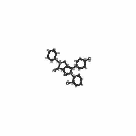 O=C1c2nn(-c3ccccc3Cl)c(-c3ccc(Cl)cc3)c2CN1c1ccccc1